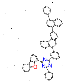 c1ccc(-c2nc(-c3cccc(-c4cc5ccc(-c6ccc(-c7ccccc7)c7ccccc67)cc5c5ccccc45)c3)nc(-c3cccc4c3oc3ccccc34)n2)cc1